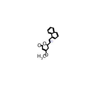 COC1=CC(=O)OC(/C=C/c2cccc3ccccc23)C1